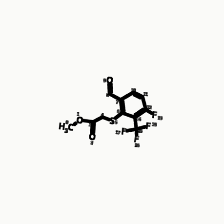 COC(=O)CSc1c(C=O)ccc(F)c1C(F)(F)F